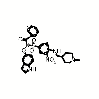 CN1CCC(CNc2ccc(S(=O)(=O)N(Oc3ccc4[nH]ccc4c3)C(=O)c3ccccc3)cc2[N+](=O)[O-])CC1